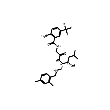 Cc1ccc(CNC[C@H](NC(=O)CNC(=O)c2cc(C(F)(F)F)ccc2N)[C@H](O)CC(C)C)c(C)c1